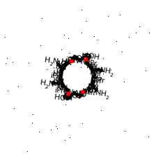 CC(C)C[C@@H]1NC(=O)[C@H](CCCCN)NC(=O)[C@H](C(C)C)NC(=O)[C@@H]2CCCN2C(=O)[C@@H](Cc2ccc(O)cc2)NC(=O)[C@H](CC(C)C)NC(=O)[C@H](CCCCN)NC(=O)[C@H](C(C)C)NC(=O)[C@H](CCCCN)NC(=O)[C@H](CC(C)C)NC(=O)[C@@H]2CCCN2C(=O)[C@@H](Cc2ccc(O)cc2)NC(=O)[C@H](C(C)C)NC(=O)[C@H](CCCCN)NC1=O